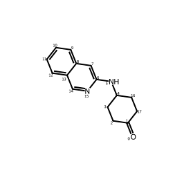 O=C1CCC(Nc2cc3ccccc3cn2)CC1